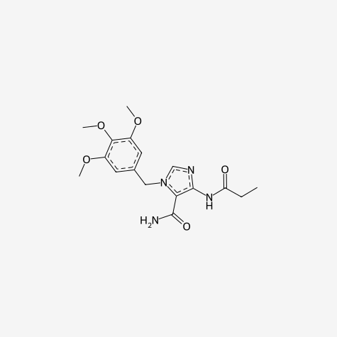 CCC(=O)Nc1ncn(Cc2cc(OC)c(OC)c(OC)c2)c1C(N)=O